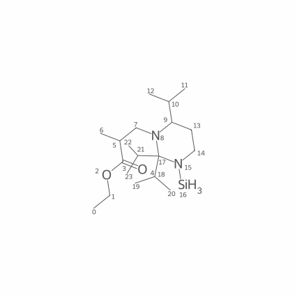 CCOC(=O)C(C)CN1C(C(C)C)CCN([SiH3])C1(C(C)C)C(C)C